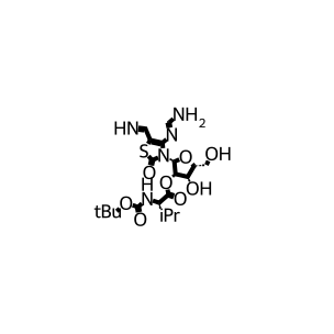 CC(C)[C@H](NC(=O)OC(C)(C)C)C(=O)O[C@@H]1[C@@H](O)[C@@H](CO)O[C@H]1n1c(/N=C/N)c(C=N)sc1=O